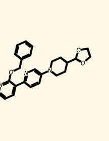 c1ccc(COc2ncccc2-c2ccc(N3CCC(C4OCCO4)CC3)cn2)cc1